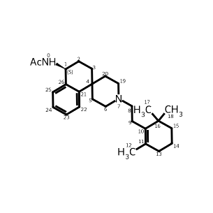 CC(=O)N[C@H]1CCC2(CCN(CCC3=C(C)CCCC3(C)C)CC2)c2ccccc21